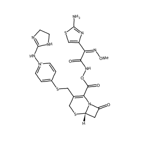 CO/N=C(\C(=O)NOC(=O)C1=C(CSc2cc[n+](NC3=NCCN3)cc2)CS[C@H]2CC(=O)N12)c1csc(N)n1